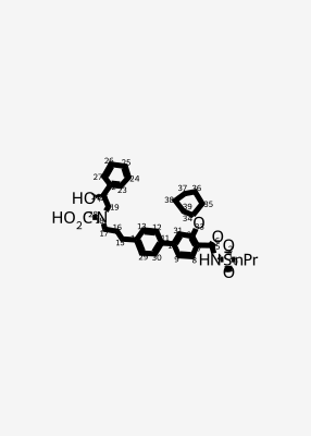 CCCS(=O)(=O)NC(=O)c1ccc(-c2ccc(CCCN(C[C@@H](O)c3ccccc3)C(=O)O)cc2)cc1OC1CCCCC1